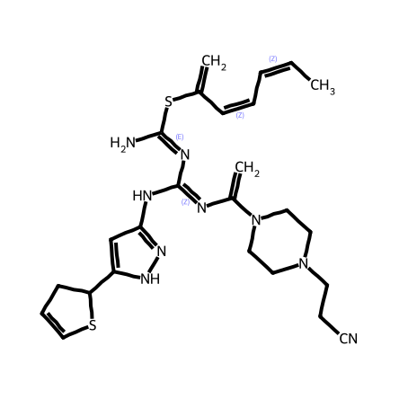 C=C(/C=C\C=C/C)S/C(N)=N/C(=N\C(=C)N1CCN(CCC#N)CC1)Nc1cc(C2CC=CS2)[nH]n1